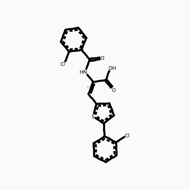 O=C(O)/C(=C\c1ccc(-c2ccccc2Cl)s1)NC(=O)c1ccccc1Cl